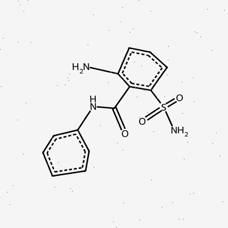 Nc1cccc(S(N)(=O)=O)c1C(=O)Nc1ccccc1